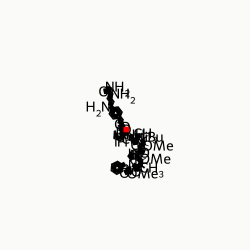 CC[C@H](C)[C@@H]([C@@H](CC(=O)N1CCC[C@H]1[C@H](OC)[C@@H](C)C(=O)N[C@@H](Cc1ccccc1)C(=O)OC)OC)N(C)C(=O)[C@@H](NC(=O)[C@]1(C)CCCN1C(=O)OCc1ccc(C(N)CC[C@H](N)C(N)=O)cc1)C(C)C